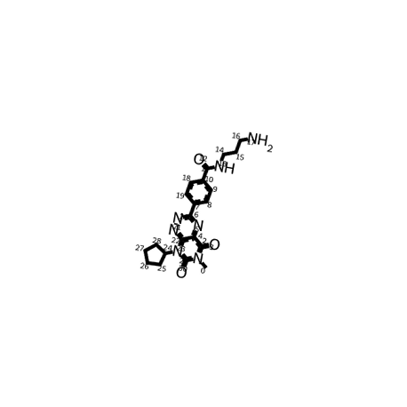 Cn1c(=O)c2nc(-c3ccc(C(=O)NCCCN)cc3)nnc2n(C2CCCC2)c1=O